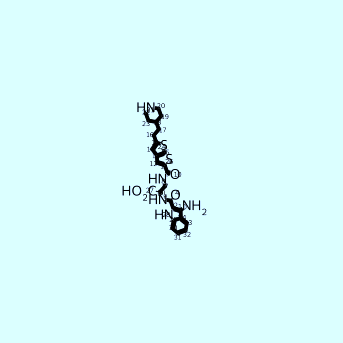 Nc1c(C(=O)N[C@@H](CNC(=O)c2cc3cc(CCC4CCNCC4)sc3s2)C(=O)O)[nH]c2ccccc12